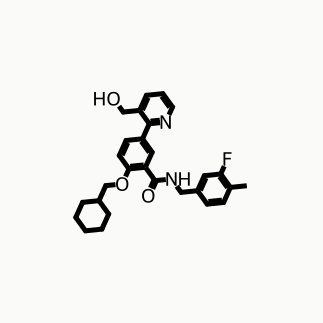 Cc1ccc(CNC(=O)c2cc(-c3ncccc3CO)ccc2OCC2CCCCC2)cc1F